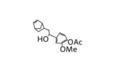 COc1cc(C(O)CC2CC3C=CC2C3)ccc1OC(C)=O